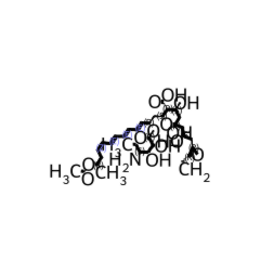 C=C[C@H]1O[C@@H]1C[C@H](O)C[C@]1(O)C[C@H](O)[C@@H](C(=O)O)[C@H](C[C@H](/C=C/C=C/C=C/C=C\C[C@@H](C)OC(C)=O)O[C@@H]2OC(C)[C@@H](N)C(O)C2O)O1